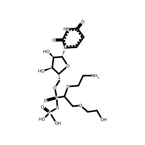 NCCOC(COCCO)P(=O)(OC[C@H]1O[C@@H](n2ccc(=O)[nH]c2=O)[C@H](O)[C@@H]1O)OP(=O)(O)O